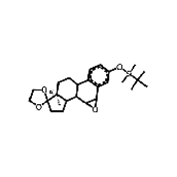 CC(C)(C)[Si](C)(C)Oc1ccc2c(c1)C1OC1C1C2CC[C@@]2(C)C1CCC21OCCO1